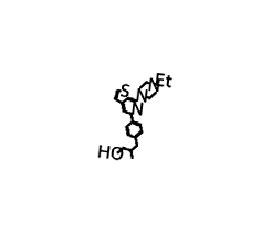 CCN1CCN(c2nc(-c3ccc(CC(C)CO)cc3)cc3ccsc23)CC1